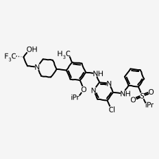 Cc1cc(Nc2ncc(Cl)c(Nc3ccccc3S(=O)(=O)C(C)C)n2)c(OC(C)C)cc1C1CCN(C[C@@H](O)C(F)(F)F)CC1